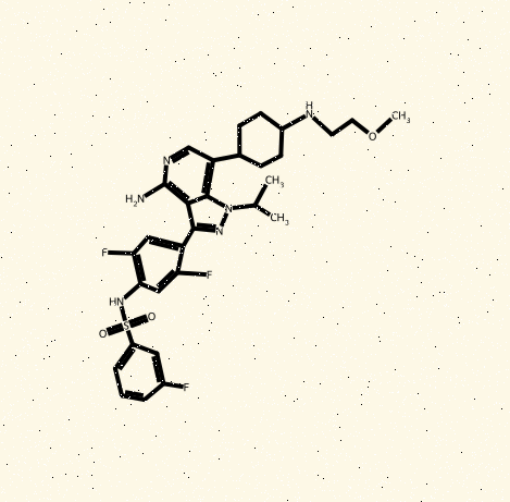 COCCNC1CCC(c2cnc(N)c3c(-c4cc(F)c(NS(=O)(=O)c5cccc(F)c5)cc4F)nn(C(C)C)c23)CC1